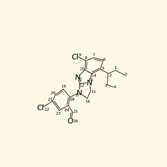 CCC(CC)c1ccc(Cl)c2nc3n(c12)CCN3c1ccc(Cl)cc1C=O